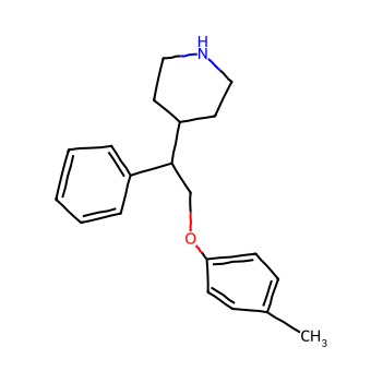 Cc1ccc(OCC(c2ccccc2)C2CCNCC2)cc1